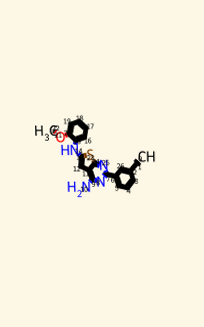 C#Cc1cccc(-c2nc(N)c3cc(Nc4ccccc4OC)sc3n2)c1